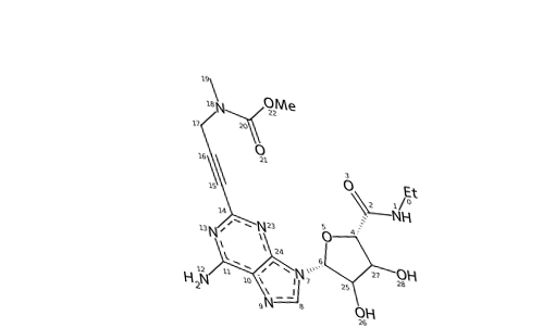 CCNC(=O)[C@H]1O[C@@H](n2cnc3c(N)nc(C#CCN(C)C(=O)OC)nc32)C(O)C1O